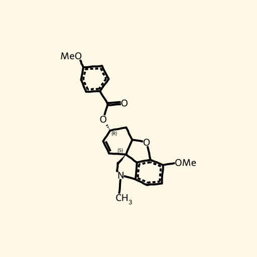 COc1ccc(C(=O)O[C@H]2C=C[C@@]34CCN(C)c5ccc(OC)c(c53)OC4C2)cc1